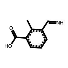 Cc1c(C=N)cccc1C(=O)O